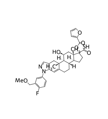 COCc1cc(-n2ncc3c2C=C2CC[C@@H]4[C@H]([C@@H](O)C[C@@]5(C)[C@H]4CC[C@]5(OC(=O)c4ccco4)C(=O)S)[C@@]2(C)C3)ccc1F